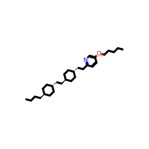 CCCCCOc1ccc(CC[C@H]2CC[C@H](CC[C@H]3CC[C@H](CCCC)CC3)CC2)nc1